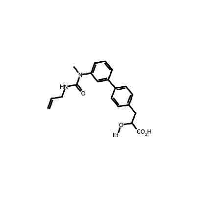 C=CCNC(=O)N(C)c1cccc(-c2ccc(CC(OCC)C(=O)O)cc2)c1